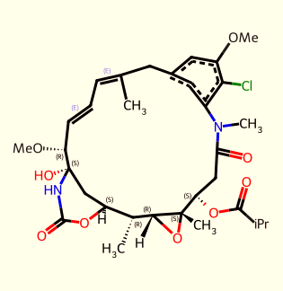 COc1cc2cc(c1Cl)N(C)C(=O)C[C@H](OC(=O)C(C)C)[C@]1(C)O[C@@H]1[C@H](C)[C@@H]1C[C@@](O)(NC(=O)O1)[C@H](OC)/C=C/C=C(\C)C2